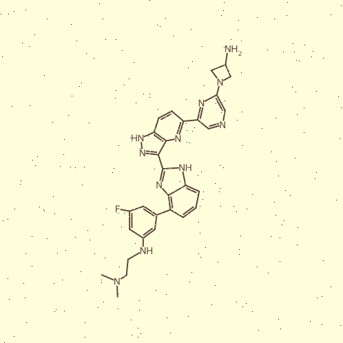 CN(C)CCNc1cc(F)cc(-c2cccc3[nH]c(-c4n[nH]c5ccc(-c6cncc(N7CC(N)C7)n6)nc45)nc23)c1